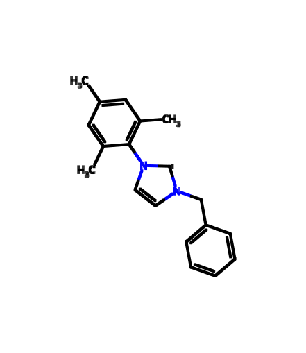 Cc1cc(C)c(N2[C]N(Cc3ccccc3)C=C2)c(C)c1